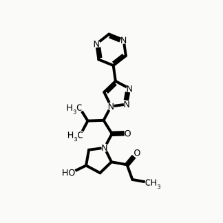 CCC(=O)C1CC(O)CN1C(=O)C(C(C)C)n1cc(-c2cncnc2)nn1